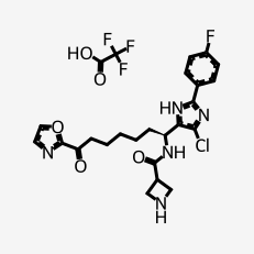 O=C(CCCCC[C@H](NC(=O)C1CNC1)c1[nH]c(-c2ccc(F)cc2)nc1Cl)c1ncco1.O=C(O)C(F)(F)F